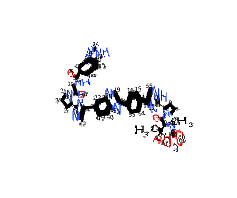 CC(C)[C@@H](C(=O)N1CCC[C@H]1c1nc(-c2ccc(-c3cnc4cc(-c5cnc([C@@H]6CCCN6C(=O)CNC(=O)c6ccc7[nH]cnc7c6)[nH]5)ccc4n3)cc2)c[nH]1)N(C)C(=O)O